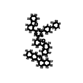 c1ccc(-c2ccc(-c3nc(-c4cccc5c4oc4ccccc45)nc(-c4cccc5c4oc4ccc6ccc(-n7c8cc9ccccc9cc8c8ccc9ccccc9c87)cc6c45)n3)cc2)cc1